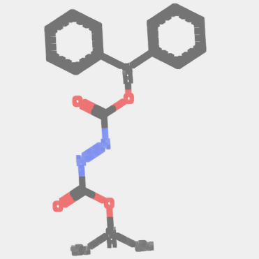 CC(C)(C)[SiH](OC(=O)N=NC(=O)O[SiH](c1ccccc1)c1ccccc1)C(C)(C)C